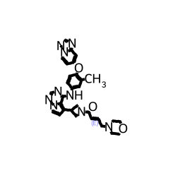 Cc1cc(Nc2ncnn3ccc(C4CN(C(=O)/C=C/CN5CCOCC5)C4)c23)ccc1Oc1ccn2ncnc2c1